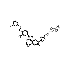 CS(=O)(=O)CCOCc1nc(-c2cc3c(Nc4ccc(OCc5cccc(F)c5)c(Cl)c4)ncnc3cc2F)cs1